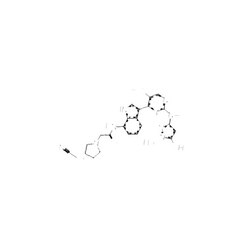 Cc1cnc(Nc2cc(C)n(C)n2)nc1-c1c[nH]c2c(NC(=O)CN3CC[C@H](CC#N)C3)cccc12